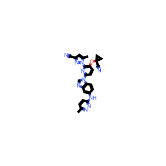 Cc1ccc(Nc2ccc3c(c2)ncn3-c2ccc(OC3(C#N)CC3)c(-n3nc(C#N)cc3C)n2)nn1